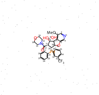 COc1cncc2c1[C@]1(O)[C@H](O)[C@H](C(=O)N3CCOCC3)[C@@H](Pc3ccccc3)[C@]1(c1ccc(C(F)(F)F)cc1)O2